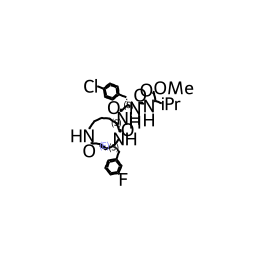 COC(=O)C(NC(=O)N[C@@H](Cc1ccc(Cl)cc1)C(=O)N[C@H]1CCCCNC(=O)/C=C/[C@H](Cc2cccc(F)c2)NC1=O)C(C)C